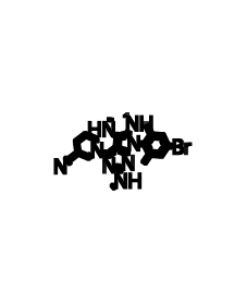 CNc1nc(N2CCCC(C#N)C2)c2c(NC)c(NC)n(-c3c(C)cc(Br)cc3C)c2n1